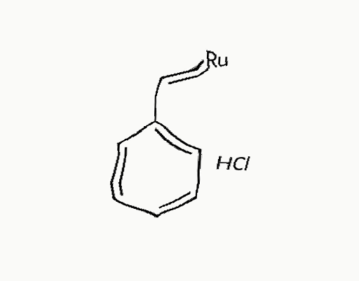 Cl.[Ru]=[CH]c1ccccc1